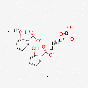 O=C([O-])c1ccccc1O.O=C([O-])c1ccccc1O.[Li+].[Li+].[Li+].[Li+].[Li+].[O-]B([O-])[O-]